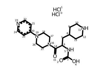 Cl.Cl.O=C(O)NC(CC1CCNCC1)C(=O)N1CCN(c2ccncc2)CC1